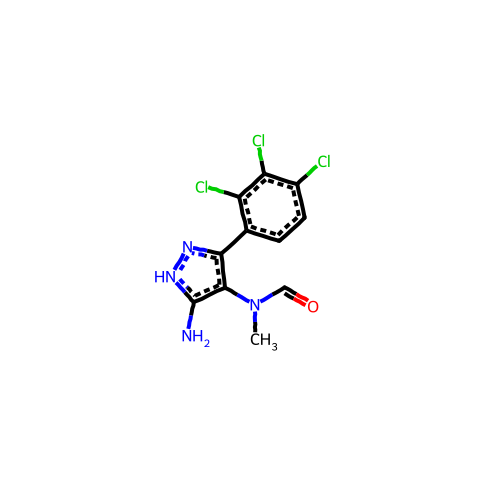 CN(C=O)c1c(-c2ccc(Cl)c(Cl)c2Cl)n[nH]c1N